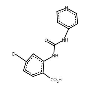 O=C(Nc1ccncc1)Nc1cc(Cl)ccc1C(=O)O